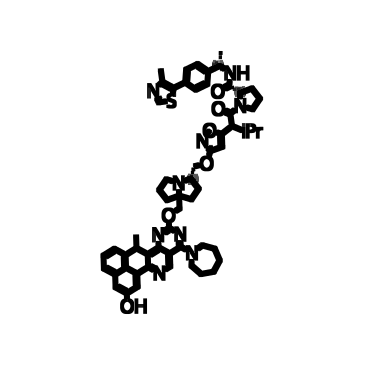 Cc1ncsc1-c1ccc([C@H](C)NC(=O)[C@@H]2CCCN2C(=O)C(c2cc(OC[C@@H]3CCC4(COc5nc(N6CCCCCC6)c6cnc7c(c6n5)C(C)c5cccc6cc(O)cc-7c56)CCCN34)no2)C(C)C)cc1